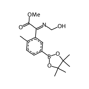 COC(=O)/C(=N/CO)c1cc(B2OC(C)(C)C(C)(C)O2)ccc1C